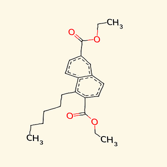 CCCCCCc1c(C(=O)OCC)ccc2cc(C(=O)OCC)ccc12